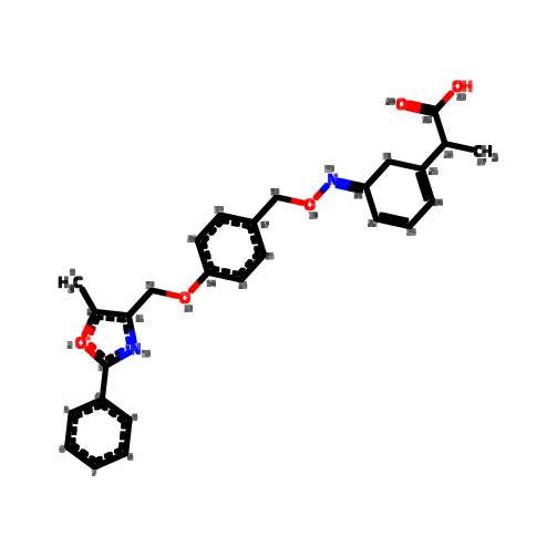 Cc1oc(-c2ccccc2)nc1COc1ccc(CON=C2C=CC=C(C(C)C(=O)O)C2)cc1